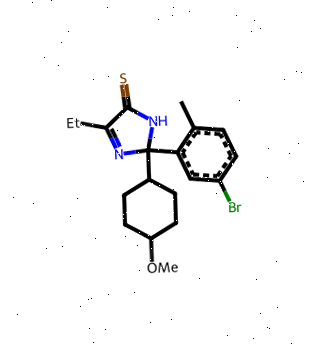 CCC1=NC(c2cc(Br)ccc2C)(C2CCC(OC)CC2)NC1=S